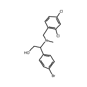 CN(Cc1ccc(Cl)cc1Cl)C(CO)c1ccc(Br)cc1